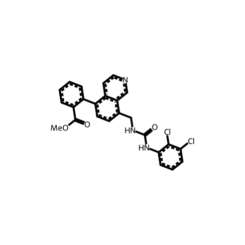 COC(=O)c1ccccc1-c1ccc(CNC(=O)Nc2cccc(Cl)c2Cl)c2cnccc12